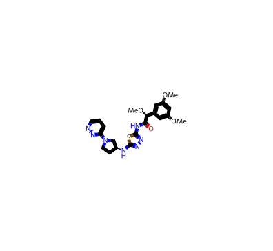 COc1cc(OC)cc([C@H](OC)C(=O)Nc2nnc(N[C@@H]3CCN(c4cccnn4)C3)s2)c1